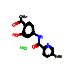 CCCCc1ccc(C(=O)Nc2ccc(C(=O)OC)c(O)c2)nc1.Cl